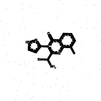 CCC(N)c1nc2c(C)cccc2c(=O)n1-c1cc[nH]n1